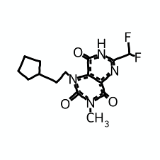 Cn1c(=O)c2nc(C(F)F)[nH]c(=O)c2n(CCC2CCCC2)c1=O